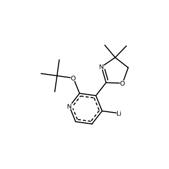 [Li][c]1ccnc(OC(C)(C)C)c1C1=NC(C)(C)CO1